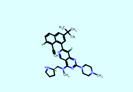 C#Cc1c(F)ccc2cc(C(C)(C)C#N)cc(-c3ncc4c(N(C)C[C@H]5CCCN5)nc(N5CCN(C)CC5)nc4c3F)c12